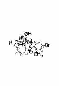 Cc1cc(Br)ccc1S(=O)(=O)C1=CC=CSC(C)(C)N1C(=O)NO